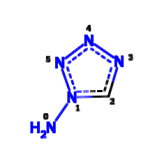 Nn1cnnn1